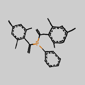 C=C(c1c(C)cc(C)cc1C)P(C(=C)c1c(C)cc(C)cc1C)c1ccccc1